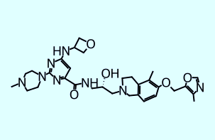 Cc1ncoc1COc1ccc2c(c1C)CCN(C[C@@H](O)CNC(=O)c1cc(NC3COC3)nc(N3CCN(C)CC3)n1)C2